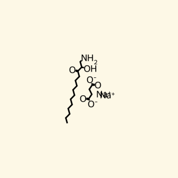 CCCCCCCCCCCC(=O)C(O)CN.O=C([O-])CCC(=O)[O-].[Na+].[Na+]